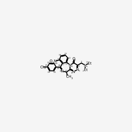 CCN(CC)Cc1nnc2n(c1=O)-c1cccc([N+](=O)[O-])c1C(c1ccc(Cl)cc1)=NC2C